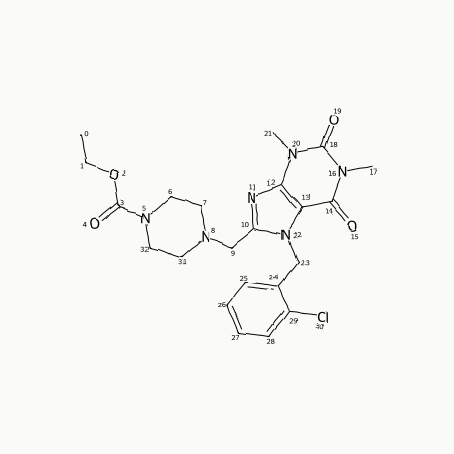 CCOC(=O)N1CCN(Cc2nc3c(c(=O)n(C)c(=O)n3C)n2Cc2ccccc2Cl)CC1